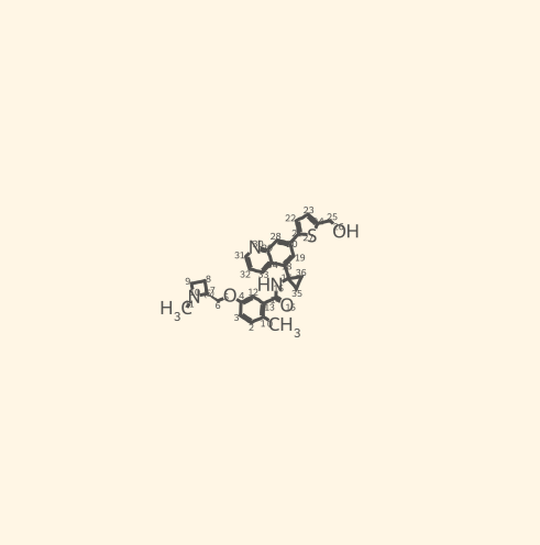 Cc1ccc(OC[C@@H]2CCN2C)cc1C(=O)NC1(c2cc(-c3ccc(CO)s3)cc3ncccc23)CC1